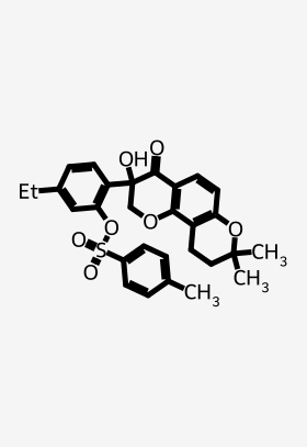 CCc1ccc(C2(O)COc3c(ccc4c3CCC(C)(C)O4)C2=O)c(OS(=O)(=O)c2ccc(C)cc2)c1